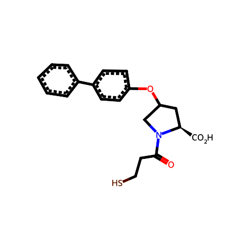 O=C(O)[C@@H]1CC(Oc2ccc(-c3ccccc3)cc2)CN1C(=O)CCS